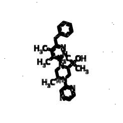 Cc1c(Cc2ccccc2)nnc(N2C[C@@H](C)N(c3cnccn3)CC2C(C)(C)O)c1C